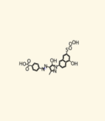 Cc1nn(-c2ccc3c(O)cc(SOOO)cc3c2)c(O)c1/N=N/c1ccc(S(=O)(=O)O)cc1